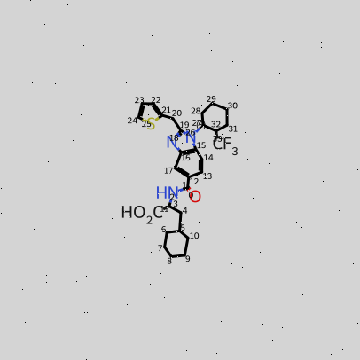 O=C(NC(CC1CCCCC1)C(=O)O)c1ccc2c(c1)nc(Cc1cccs1)n2[C@H]1CCCCC1C(F)(F)F